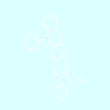 O=C1/C(=C\c2ccc3c(c2)Sc2ccccc2N3c2ccccc2)C(O)c2ccccc21